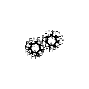 FC1(F)C(F)(F)C(F)(F)C(F)(F)C(F)(OC2(F)C(F)(F)C(F)(F)C(F)(F)C(F)(F)C(F)(F)C2(F)F)C(F)(F)C1(F)F